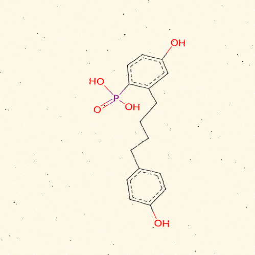 O=P(O)(O)c1ccc(O)cc1CCCCc1ccc(O)cc1